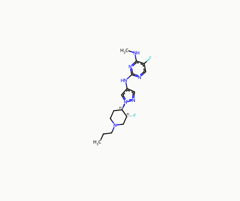 CCCN1CC[C@@H](n2cc(Nc3ncc(F)c(NC)n3)cn2)[C@H](F)C1